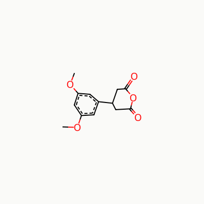 COc1cc(OC)cc(C2CC(=O)OC(=O)C2)c1